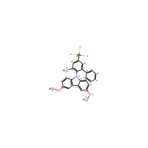 COc1ccc2c(c1)c1cc(OC)ccc1n2-c1c(C)cc(C(F)(F)F)cc1-c1ccccc1